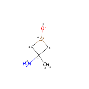 CC1(N)C[S+]([O-])C1